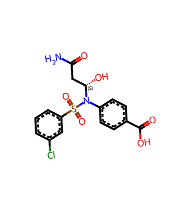 NC(=O)C[C@H](O)N(c1ccc(C(=O)O)cc1)S(=O)(=O)c1cccc(Cl)c1